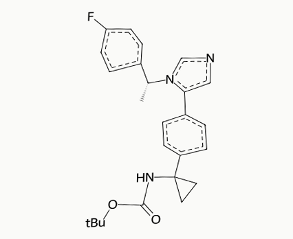 C[C@H](c1ccc(F)cc1)n1cncc1-c1ccc(C2(NC(=O)OC(C)(C)C)CC2)cc1